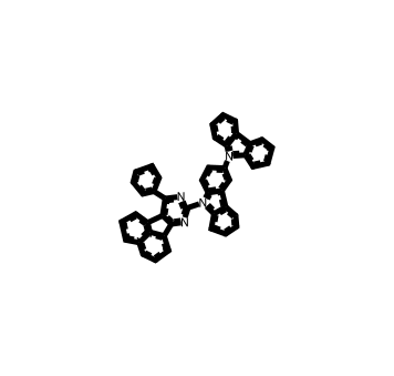 c1ccc(-c2nc(-n3c4ccccc4c4cc(-n5c6ccccc6c6ccccc65)ccc43)nc3c2-c2cccc4cccc-3c24)cc1